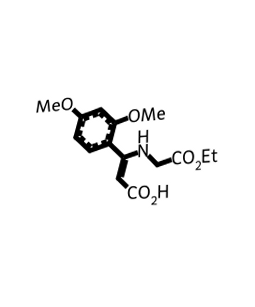 CCOC(=O)CNC(=CC(=O)O)c1ccc(OC)cc1OC